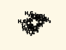 Cc1ccc2c(c1)Nc1cc(C)ccc1P([Si](C)(C)C)c1cc(C)ccc1Nc1ccc(C)cc1P2[Si](C)(C)C